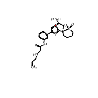 C=CCNCC(=O)Nc1cccc(-c2ccc([C@@]3(CC(=O)NO)CCCCS3(=O)=O)s2)c1